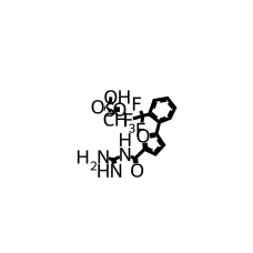 CS(=O)(=O)O.N=C(N)NC(=O)c1ccc(-c2ccccc2C(F)(F)F)o1